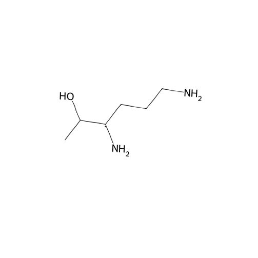 CC(O)[C](N)CCCN